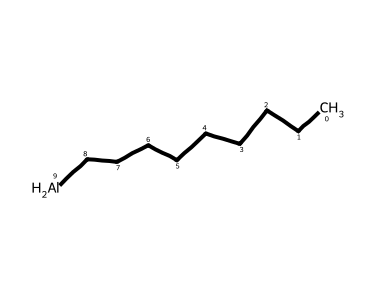 CCCCCCCC[CH2][AlH2]